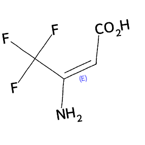 N/C(=C/C(=O)O)C(F)(F)F